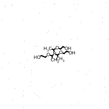 CC(OCCO)N(C(C)OCCO)C(C)OCCO